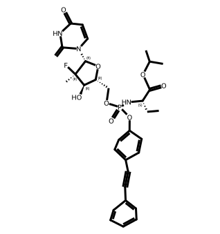 C=C1NC(=O)C=CN1[C@@H]1O[C@H](COP(=O)(N[C@@H](CC)C(=O)OC(C)C)Oc2ccc(C#Cc3ccccc3)cc2)[C@@H](O)[C@@]1(C)F